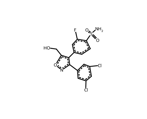 NS(=O)(=O)c1ccc(-c2c(-c3cc(Cl)cc(Cl)c3)noc2CO)cc1F